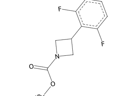 CC(C)(C)OC(=O)N1CC(c2c(F)cccc2F)C1